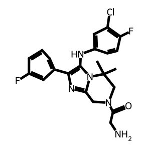 CC1(C)CN(C(=O)CN)Cc2nc(-c3cccc(F)c3)c(Nc3ccc(F)c(Cl)c3)n21